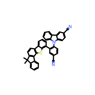 CC1(C)c2ccccc2-c2c1ccc1c2sc2c(-c3cc(C#N)ccc3-n3c4ccccc4c4cc(C#N)ccc43)cccc21